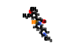 CCN1CCC(C2=CN3C(=O)C=C(c4ccc(OC)c(C)c4)PC3C=C2)CC1